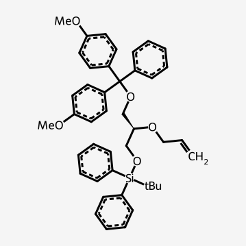 C=CCO[C@H](COC(c1ccccc1)(c1ccc(OC)cc1)c1ccc(OC)cc1)CO[Si](c1ccccc1)(c1ccccc1)C(C)(C)C